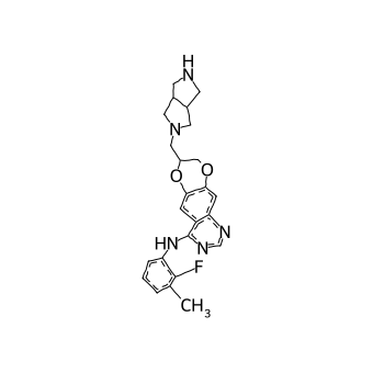 Cc1cccc(Nc2ncnc3cc4c(cc23)OC(CN2CC3CNCC3C2)CO4)c1F